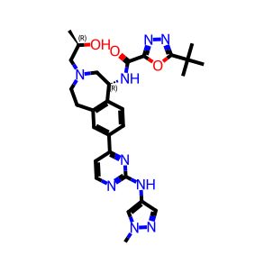 C[C@@H](O)CN1CCc2cc(-c3ccnc(Nc4cnn(C)c4)n3)ccc2[C@@H](NC(=O)c2nnc(C(C)(C)C)o2)C1